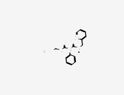 CN(Cc1ccccn1)C(=O)N(C(=O)NC[C]=O)c1ccccc1